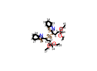 CCO[Si](C)(CCC(SSC(CC[Si](C)(OCC)OCC)c1nc2ccccc2s1)c1nc2ccccc2s1)OCC